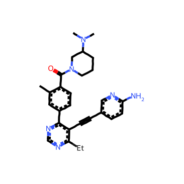 CCc1ncnc(-c2ccc(C(=O)N3CCCC(N(C)C)C3)c(C)c2)c1C#Cc1ccc(N)nc1